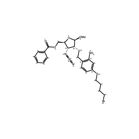 CO[C@@H]1O[C@H](COC(=O)c2ccccc2)[C@@H](N=[N+]=[N-])[C@H]1OCc1ccc(OCCCCBr)cc1[N+](=O)[O-]